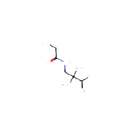 CCC(=O)NCC(C)(C)C(C)C